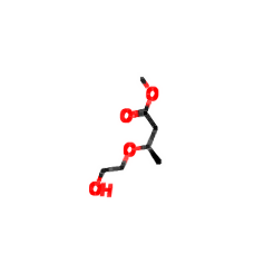 COC(=O)C[C@@H](C)OCCO